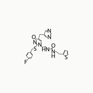 O=C(NCCc1cccs1)NCCn1cc(Cc2cncnc2)c(=O)nc1SCc1ccc(F)cc1